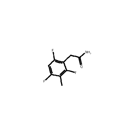 Cc1c(F)cc(F)c(CC(N)=O)c1F